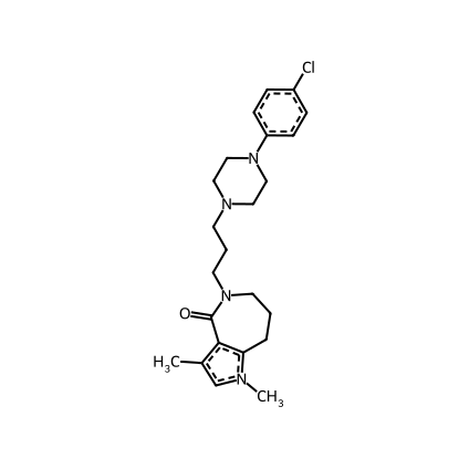 Cc1cn(C)c2c1C(=O)N(CCCN1CCN(c3ccc(Cl)cc3)CC1)CCC2